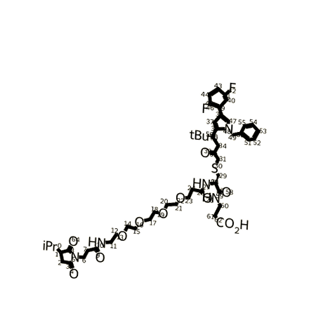 CC(C)C1CC(=O)N(CCC(=O)NCCOCCOCCOCCOCCC(=O)N[C@@H](CSCC(=O)C[C@@H](c2cc(-c3cc(F)ccc3F)cn2Cc2ccccc2)C(C)(C)C)C(=O)NCCC(=O)O)C1=O